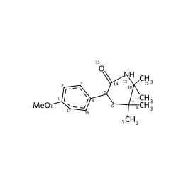 COc1ccc(C2CC(C)(C)C(C)(C)NC2=O)cc1